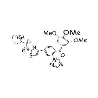 COc1cc(C(=O)c2ccc(-c3csc(NC(=O)C4CCCN4)n3)cc2-n2cncn2)cc(OC)c1OC